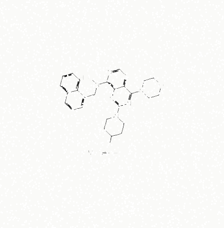 CC1CCN(c2nc(N3CCOCC3)c3ncnc(N(C)Cc4cccc5ccccc45)c3n2)CC1.CNC